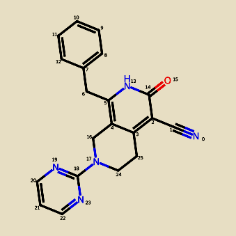 N#Cc1c2c(c(Cc3ccccc3)[nH]c1=O)CN(c1ncccn1)CC2